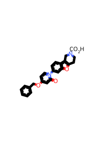 O=C(O)N1CCc2oc3cc(-n4ccc(OCc5ccccc5)cc4=O)ccc3c2C1